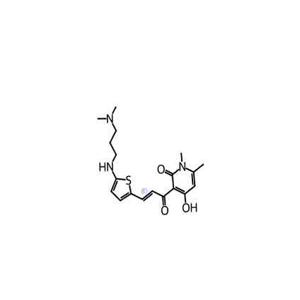 Cc1cc(O)c(C(=O)/C=C/c2ccc(NCCCN(C)C)s2)c(=O)n1C